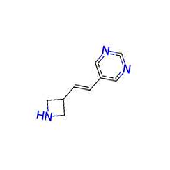 C(=CC1CNC1)c1cncnc1